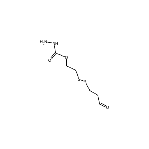 NNC(=O)OCCSSCCC=O